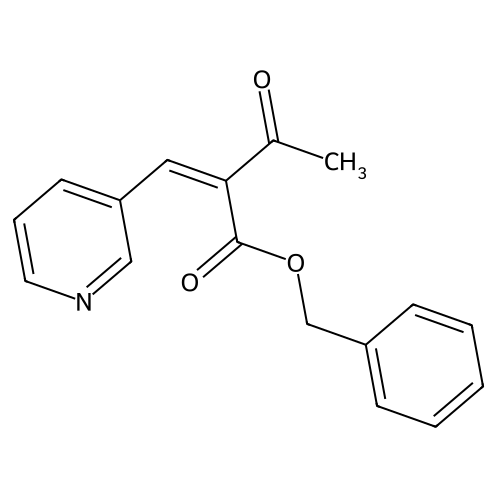 CC(=O)C(=Cc1cccnc1)C(=O)OCc1ccccc1